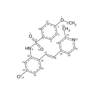 COc1ccc(S(=O)(=O)Nc2cc(Cl)ccc2C=Cc2ccnc(C)c2)cc1